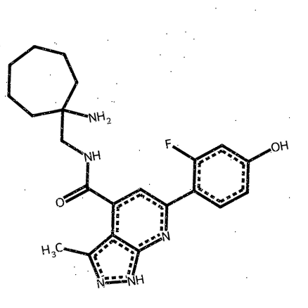 Cc1n[nH]c2nc(-c3ccc(O)cc3F)cc(C(=O)NCC3(N)CCCCCC3)c12